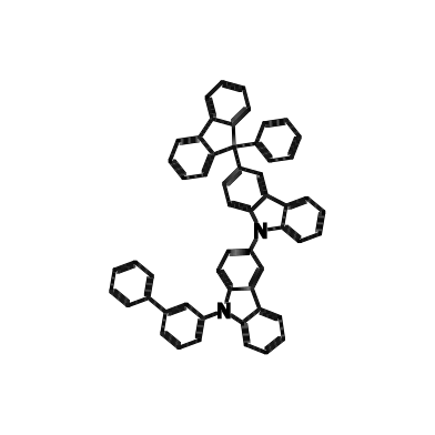 c1ccc(-c2cccc(-n3c4ccccc4c4cc(-n5c6ccccc6c6cc(C7(c8ccccc8)c8ccccc8-c8ccccc87)ccc65)ccc43)c2)cc1